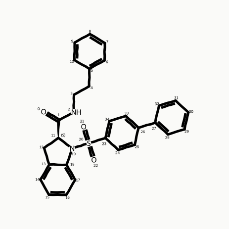 O=C(NCCc1ccccc1)[C@@H]1Cc2ccccc2N1S(=O)(=O)c1ccc(-c2ccccc2)cc1